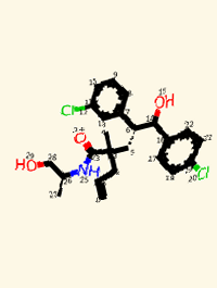 C=CCC(C)(C[C@H](c1cccc(Cl)c1)C(O)c1ccc(Cl)cc1)C(=O)N[C@@H](C)CO